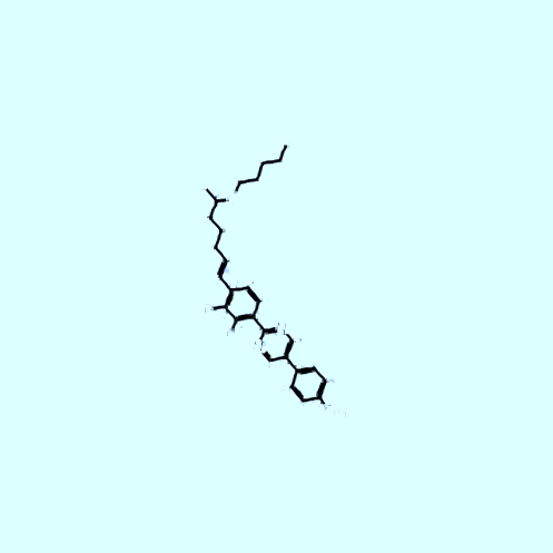 CCCCCOC(C)CCC/C=C/c1ccc(-c2ncc(-c3ccc(O)cc3)cn2)c(F)c1F